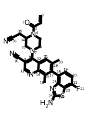 C=CC(=O)N1CCN(c2c(C#N)cnc3c(C)c(-c4ccc(F)c5sc(N)nc45)c(C)cc23)CC1CC#N